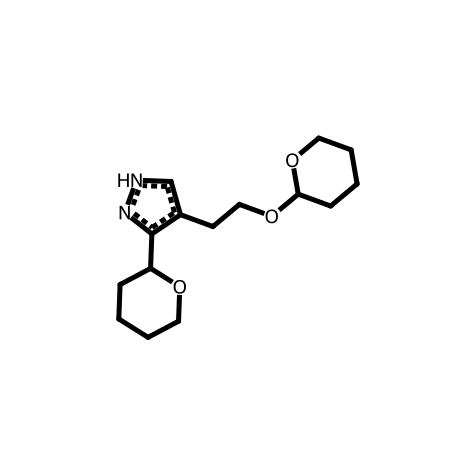 c1[nH]nc(C2CCCCO2)c1CCOC1CCCCO1